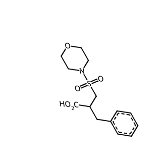 O=C(O)C(Cc1ccccc1)CS(=O)(=O)N1CCOCC1